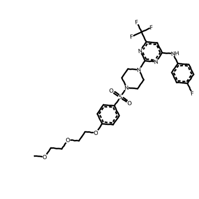 COCCOCCOc1ccc(S(=O)(=O)N2CCN(c3nc(Nc4ccc(F)cc4)cc(C(F)(F)F)n3)CC2)cc1